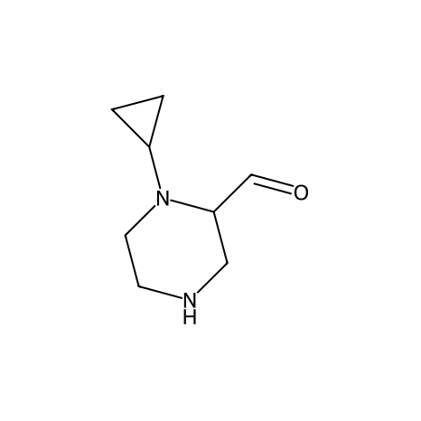 O=CC1CNCCN1C1CC1